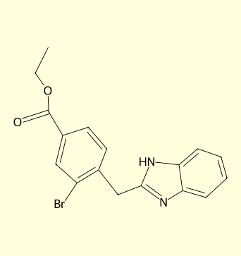 CCOC(=O)c1ccc(Cc2nc3ccccc3[nH]2)c(Br)c1